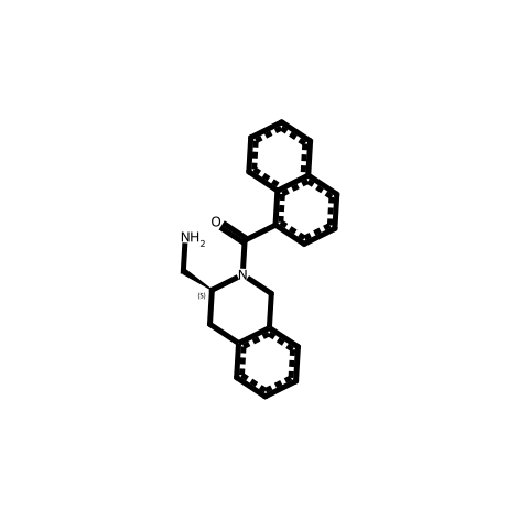 NC[C@@H]1Cc2ccccc2CN1C(=O)c1cccc2ccccc12